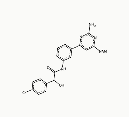 CNc1cc(-c2cccc(NC(=O)C(O)c3ccc(Cl)cc3)c2)nc(N)n1